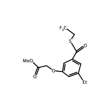 CCc1cc(OCC(=O)OC)cc(C(=O)SCC(F)(F)F)c1